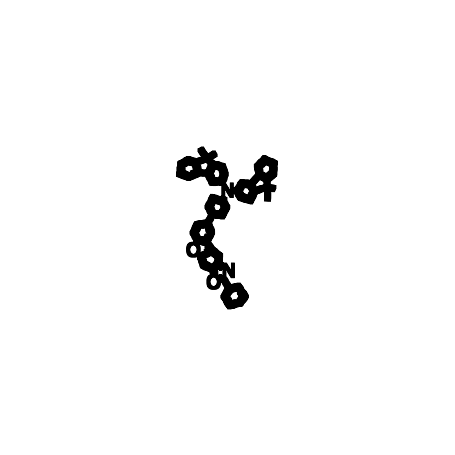 CC1(C)c2ccccc2-c2cc(N(c3ccc(-c4ccc5oc6cc7oc(-c8ccccc8)nc7cc6c5c4)cc3)c3ccc4c(c3)-c3ccccc3C4(C)C)ccc21